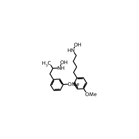 COc1ccc(CCCCNO)cc1.COc1cccc(CC(C)NO)c1